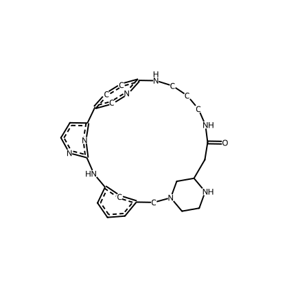 O=C1CC2CN(CCN2)Cc2cccc(c2)Nc2nccc(n2)-c2ccc(nc2)NCCCN1